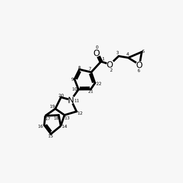 O=C(OCC1CO1)c1ccc(N2CC3C4C=CC(C4)C3C2)cc1